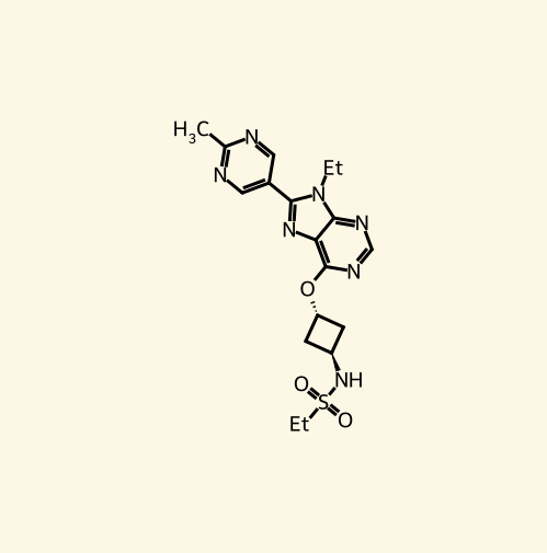 CCn1c(-c2cnc(C)nc2)nc2c(O[C@H]3C[C@H](NS(=O)(=O)CC)C3)ncnc21